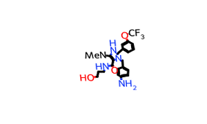 CNC1=C(C(=O)NCCCO)N(Cc2ccc(N)cc2)C(c2cccc(OC(F)(F)F)c2)N1